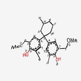 COCc1cc(C2(c3cc(C)c(O)c(COC)c3)CCCC(C)C2)cc(C)c1O